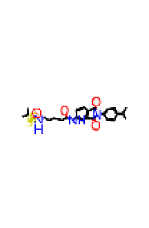 CC(C)c1ccc(N2C(=O)c3ccc(NC(=O)CCCCNS(=O)(=S)C(C)C)cc3C2=O)cc1